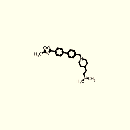 Cc1nc(-c2ccc(-c3ccc(CN4CCC(CCN(C)C)CC4)cc3)cc2)no1